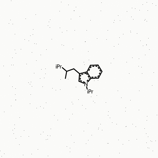 CC(C)C(C)Cc1cn(C(C)C)c2ccccc12